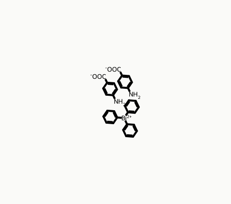 Nc1ccc(C(=O)[O-])cc1.Nc1ccc(C(=O)[O-])cc1.c1cc[c]([Bi+2]([c]2ccccc2)[c]2ccccc2)cc1